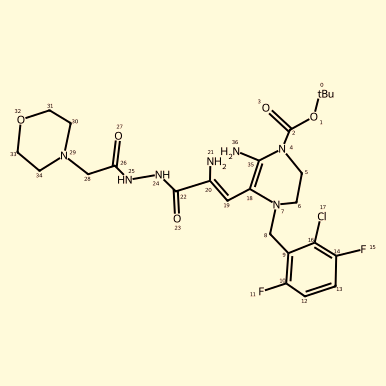 CC(C)(C)OC(=O)N1CCN(Cc2c(F)ccc(F)c2Cl)C(/C=C(\N)C(=O)NNC(=O)CN2CCOCC2)=C1N